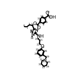 CCCC(OC(=O)c1ccc(C(=O)O)cc1)c1nc(NCCCOc2cccc(CN3CCCCC3)c2)n(C)n1